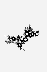 CCP(=O)(CC)c1ccc(-n2ccn(-c3c4c(nn3-c3cc(C)c(F)c(C)c3)CCN(C(=O)c3cc5cc(C6CCOCC6)cnn5c3C3(c5noc(=O)[nH]5)CC3)[C@H]4C)c2=O)cc1NC